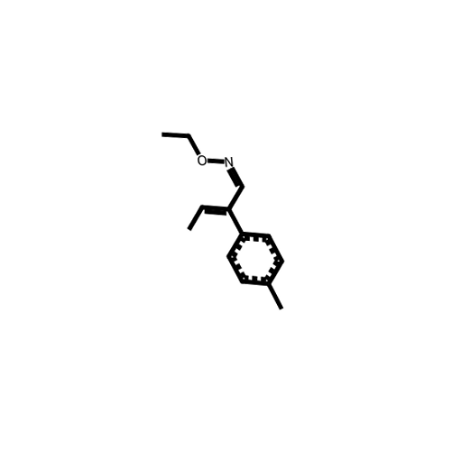 C/C=C(/C=N\OCC)c1ccc(C)cc1